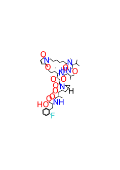 CC[C@H](C)[C@@H]([C@@H](CC(=O)N1C2C[C@@H]2C[C@H]1[C@H](OC)[C@@H](C)C(=O)N[C@@H](Cc1ccccc1F)C(=O)O)OC)N(C)C(=O)[C@@H](NC(=O)[C@H](C(C)C)N(C)C(=O)CCCCCN1C(=O)C=CC1=O)C(C)C